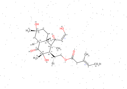 CC[C@@H](COC(=O)C/C(C)=C/C(=O)O)[C@@H]1[C@](C)(C(=O)/C=C\O)[C@H]2CC[C@@](C)(O)C[C@@H]2C(=O)[C@@]1(C)O